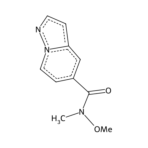 CON(C)C(=O)c1ccn2nccc2c1